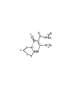 CC(C)NC(=O)c1c(O)nc2n(c1=O)CCCC2